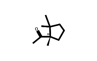 CC(=O)[C@@]1(C)CCCC1(C)C